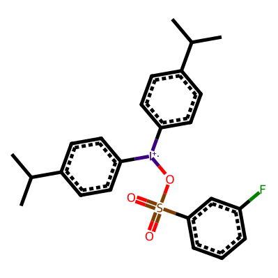 CC(C)c1ccc([I+](OS(=O)(=O)c2cccc(F)c2)c2ccc(C(C)C)cc2)cc1